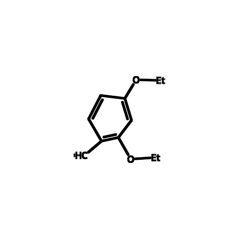 [CH]c1ccc(OCC)cc1OCC